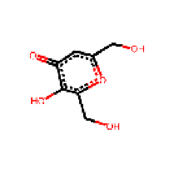 O=c1cc(CO)oc(CO)c1O